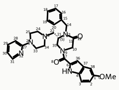 COc1ccc2[nH]c(C(=O)N3CC(=O)N(Cc4ccccc4)[C@@H](CN4CCN(c5ccccn5)CC4)C3)cc2c1